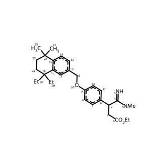 CCOC(=O)CC(C(=N)NC)c1ccc(OCc2ccc3c(c2)C(CC)(CC)CCC3(C)C)cc1